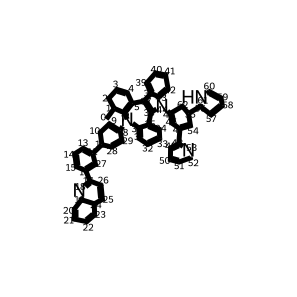 CC1CC=CC2=C1N(C1=CCC(c3cccc(C4=NC5C=CC=CC5C=C4)c3)C=C1)c1ccccc1-c1c2c2ccccc2n1C1=CC(c2ccccn2)=CC(C2C=CC=CN2)C1